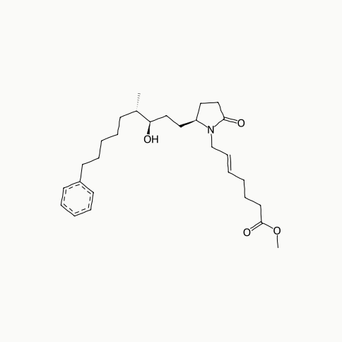 COC(=O)CCCC=CCN1C(=O)CC[C@@H]1CC[C@@H](O)[C@@H](C)CCCCCc1ccccc1